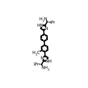 Cc1cc(-c2ccc(-c3c[nH]c([C@@H](N)C(C)C)n3)cc2)ccc1-c1c[nH]c([C@@H](N)C(C)C)n1